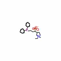 CC[N+]1(C)CCC(C(CCCP(c2ccccc2)c2ccccc2)S(=O)(=O)[O-])C1